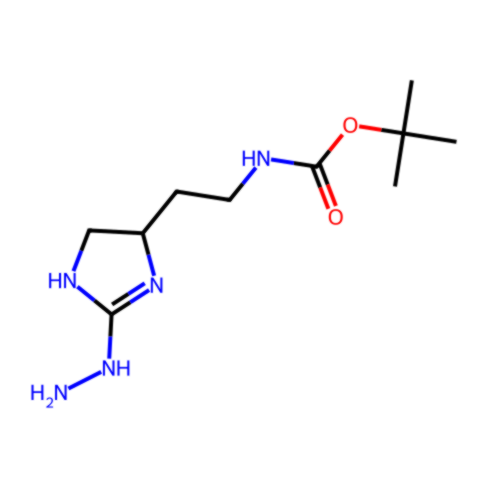 CC(C)(C)OC(=O)NCCC1CNC(NN)=N1